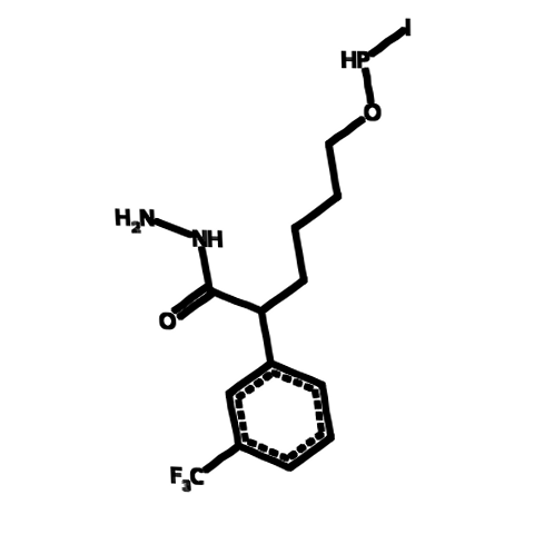 NNC(=O)C(CCCCOPI)c1cccc(C(F)(F)F)c1